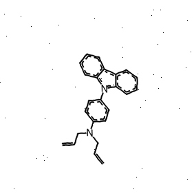 C=CCN(CC=C)c1ccc(-n2c3ccccc3c3ccccc32)cc1